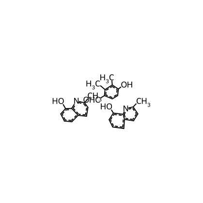 Cc1c(O)ccc(C=O)c1C.Cc1ccc2cccc(O)c2n1.Cc1ccc2cccc(O)c2n1